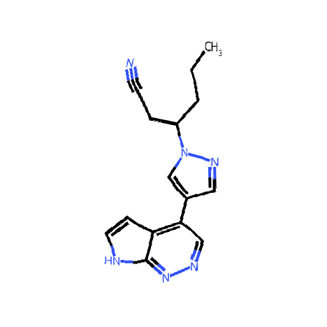 CCCC(CC#N)n1cc(-c2cnnc3[nH]ccc23)cn1